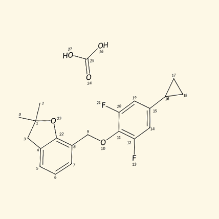 CC1(C)Cc2cccc(COc3c(F)cc(C4CC4)cc3F)c2O1.O=C(O)O